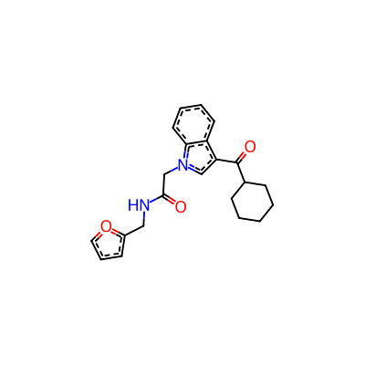 O=C(Cn1cc(C(=O)C2CCCCC2)c2ccccc21)NCc1ccco1